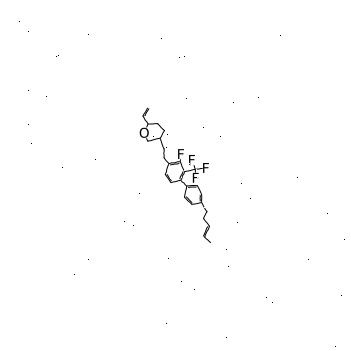 C=CC1CCC(CCc2ccc(-c3ccc(CC/C=C/C)cc3)c(C(F)(F)F)c2F)CO1